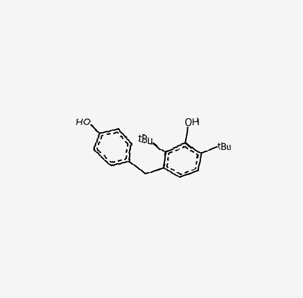 CC(C)(C)c1ccc(Cc2ccc(O)cc2)c(C(C)(C)C)c1O